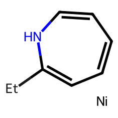 CCC1=CC=CC=CN1.[Ni]